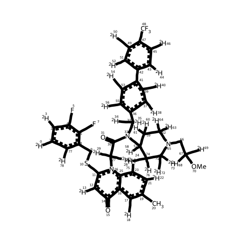 [2H]c1c([2H])c(F)c(F)c(CSc2c([2H])c(=O)c3c([2H])c(C)c([2H])c([2H])c3n2C([2H])([2H])C(=O)N(C([2H])([2H])c2c([2H])c([2H])c(-c3c([2H])c([2H])c(C(F)(F)F)c([2H])c3[2H])c([2H])c2[2H])C2([2H])C([2H])([2H])C([2H])([2H])N(CC([2H])([2H])OC)C([2H])([2H])C2([2H])[2H])c1[2H]